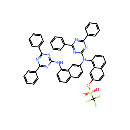 O=S(=O)(Oc1ccc2cccc(N(c3ccc4cccc(Nc5nc(-c6ccccc6)nc(-c6ccccc6)n5)c4c3)c3nc(-c4ccccc4)nc(-c4ccccc4)n3)c2c1)C(F)(F)F